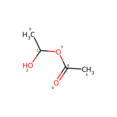 C[C](O)OC(C)=O